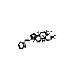 CN1C(=O)CC[C@]2(C)[C@H]3CC[C@]4(C)[C@@H](/C=C/c5ccccn5)CC[C@H]4[C@@H]3CC[C@@H]12